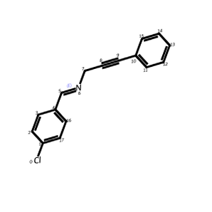 Clc1ccc(/C=N/CC#Cc2ccccc2)cc1